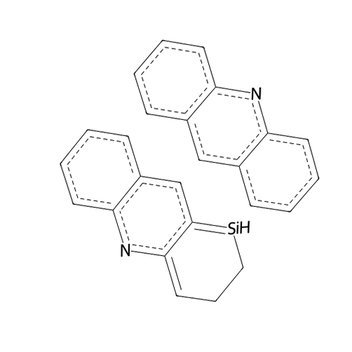 C1=c2nc3ccccc3cc2=[SiH]CC1.c1ccc2nc3ccccc3cc2c1